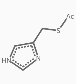 CC(=O)SCc1c[nH]cn1